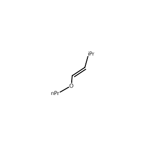 CCCO/C=C/C(C)C